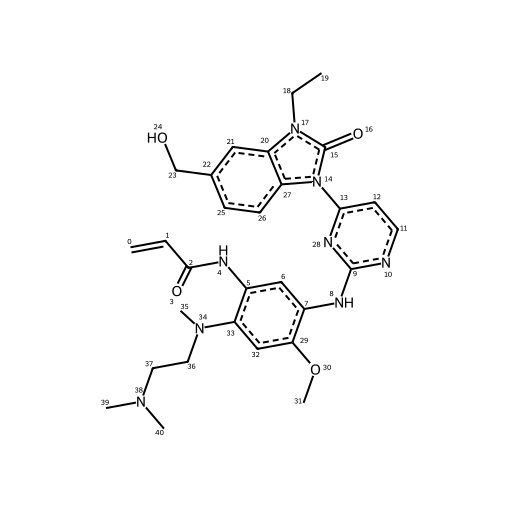 C=CC(=O)Nc1cc(Nc2nccc(-n3c(=O)n(CC)c4cc(CO)ccc43)n2)c(OC)cc1N(C)CCN(C)C